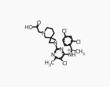 Cc1nc(N2CC3(CCCN(CC(=O)O)C3)C2)nc(N[C@H](C)c2ccc(Cl)cc2Cl)c1Cl